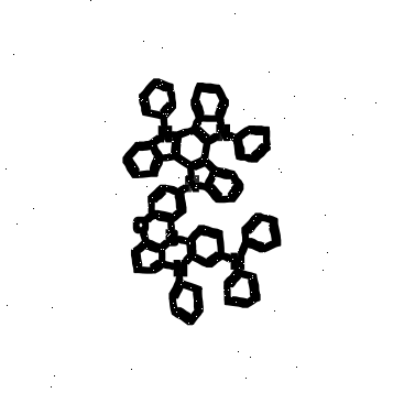 c1ccc(N(c2ccccc2)c2ccc3c(c2)N(c2ccccc2)c2cccc4c2B3c2cc(-n3c5ccccc5c5c6c(c7ccccc7n6-c6ccccc6)c6c(c7ccccc7n6-c6ccccc6)c53)ccc2O4)cc1